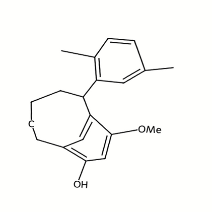 COc1cc(O)c2cc1C(c1cc(C)ccc1C)CCCC2